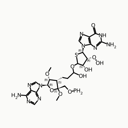 CO[C@H]1[C@H](n2cnc3c(N)ncnc32)O[C@@](COP)(OC)[C@H]1CCC(O)OC1S[C@@H](n2cnc3c(=O)[nH]c(N)nc32)[C@H](OO)[C@@H]1O